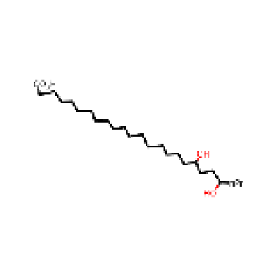 CCCC(O)CCC(O)CCCCCCCCCCCCCCCCCC(=O)O